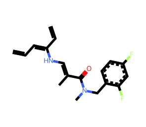 C=C/C=C(/C=C)N/C=C(\C)C(=O)N(C)Cc1ccc(F)cc1F